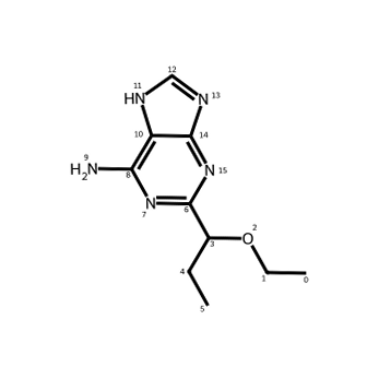 CCOC(CC)c1nc(N)c2[nH]cnc2n1